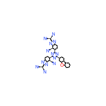 N#CC(C#N)=C1N=c2ccc(-c3nc(-c4ccc5c(c4)oc4ccccc45)nc(-c4ccc5c(c4C#N)=NC(=C(C#N)C#N)N=5)n3)c(C#N)c2=N1